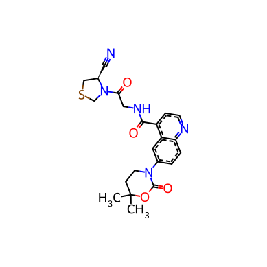 CC1(C)CCN(c2ccc3nccc(C(=O)NCC(=O)N4CSC[C@H]4C#N)c3c2)C(=O)O1